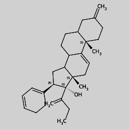 C=C1CC[C@]2(C)C3=CC[C@@]4(C)C(C[C@H](C5=CC=CCC5)[C@]4(O)C(=C)CC)C3CCC2C1